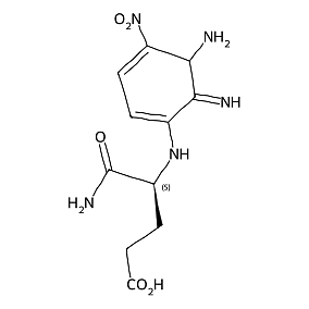 N=C1C(N[C@@H](CCC(=O)O)C(N)=O)=CC=C([N+](=O)[O-])C1N